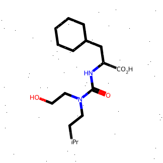 CC(C)CCN(CCO)C(=O)NC(CC1CCCCC1)C(=O)O